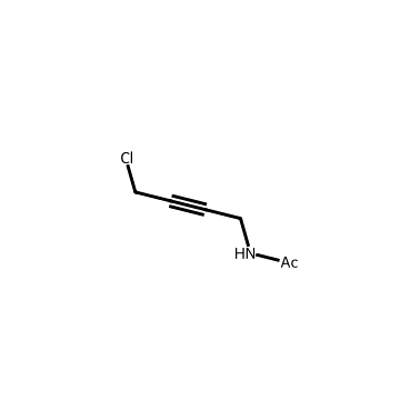 CC(=O)NCC#CCCl